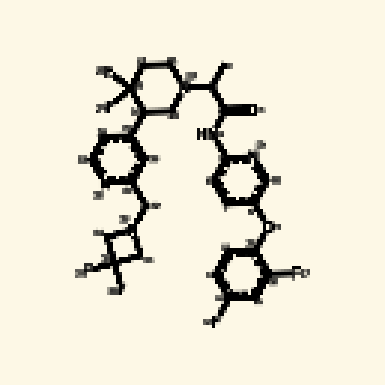 CC(C(=O)Nc1ccc(Oc2ccc(F)cc2F)cn1)N1CCC(F)(F)C(c2ccnc(CN3CC(F)(F)C3)c2)C1